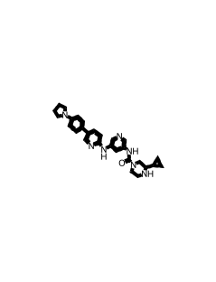 O=C(Nc1cncc(Nc2ccc(-c3ccc(N4CCCC4)cc3)cn2)c1)N1CCNC(C2CC2)C1